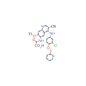 CCOc1cc2ncc(C#N)c(Nc3ccc(OCc4ccccn4)c(Cl)c3)c2cc1NC(=O)C(=O)O